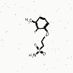 Cc1[c]ccc(OCCS(N)(=O)=O)c1F